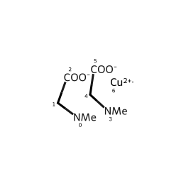 CNCC(=O)[O-].CNCC(=O)[O-].[Cu+2]